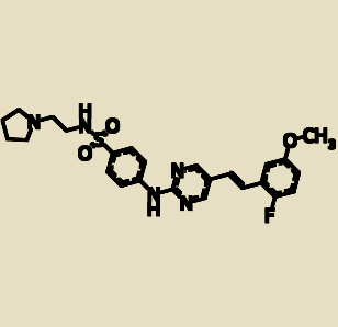 COc1ccc(F)c(C=Cc2cnc(Nc3ccc(S(=O)(=O)NCCN4CCCC4)cc3)nc2)c1